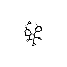 N#Cc1c(-c2cccc(F)c2)c2cc(OC3CC3)ccc2c(=O)n1C1CC1